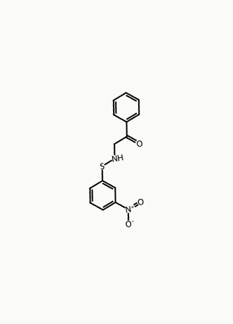 O=C(CNSc1cccc([N+](=O)[O-])c1)c1ccccc1